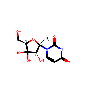 C[C@@]1(n2ccc(=O)[nH]c2=O)O[C@H](CO)C(O)(O)[C@H]1O